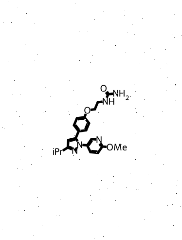 COc1ccc(-n2nc(C(C)C)cc2-c2ccc(OCCNC(N)=O)cc2)cn1